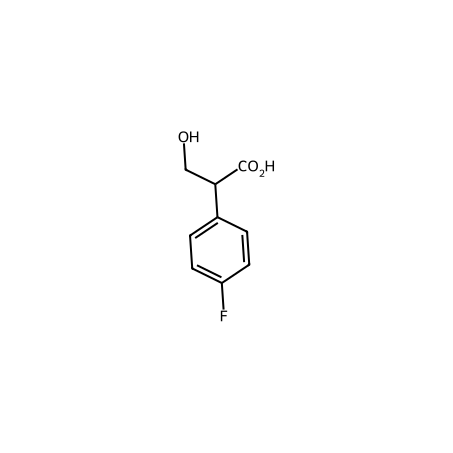 O=C(O)C(CO)c1ccc(F)cc1